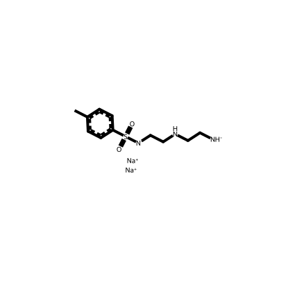 Cc1ccc(S(=O)(=O)[N-]CCNCC[NH-])cc1.[Na+].[Na+]